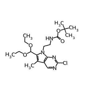 CCOC(OCC)c1c(C)c2cnc(Cl)nc2n1CCNC(=O)OC(C)(C)C